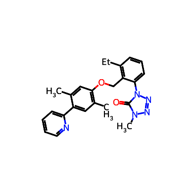 CCc1cccc(-n2nnn(C)c2=O)c1COc1cc(C)c(-c2ccccn2)cc1C